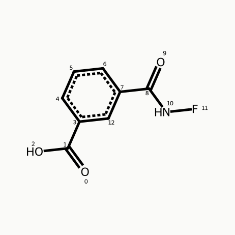 O=C(O)c1cccc(C(=O)NF)c1